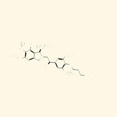 Br.CCOC(=O)CCCOc1c(OC)cc(C(=O)CN2Cc3cc(OCC)c(OCC)c(F)c3C2=N)cc1C(C)(C)C